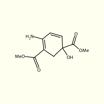 COC(=O)C1=C(N)C=CC(O)(C(=O)OC)C1